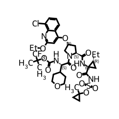 CCOc1cc(O[C@@H]2C[C@@H](C(=O)N[C@]3(C(=O)NS(=O)(=O)OC4(C)CC4)C[C@H]3CC)N(C(=O)[C@@H](NC(=O)OC(C)(C)C(F)(F)F)C3CCOCC3)C2)c2cccc(Cl)c2n1